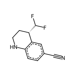 N#Cc1ccc2c(c1)[C@@H](C(F)F)CCN2